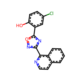 Oc1ccc(Cl)cc1-c1nc(-c2nccc3ccccc23)no1